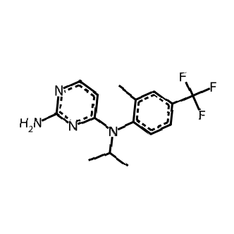 Cc1cc(C(F)(F)F)ccc1N(c1ccnc(N)n1)C(C)C